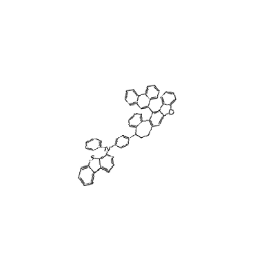 c1ccc(N(c2ccc(C3CCc4cc5oc6ccccc6c5c(-c5cc6ccccc6c6ccccc56)c4-c4ccccc43)cc2)c2cccc3c2sc2ccccc23)cc1